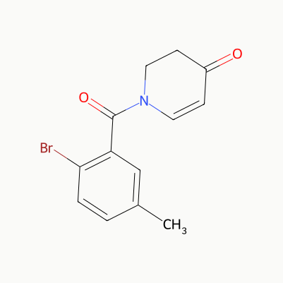 Cc1ccc(Br)c(C(=O)N2C=CC(=O)CC2)c1